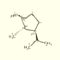 CC(C)[C@@H]1CC[C@H](O)[C@H]1C